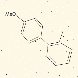 COc1ccc(-c2[c]cccc2C)cc1